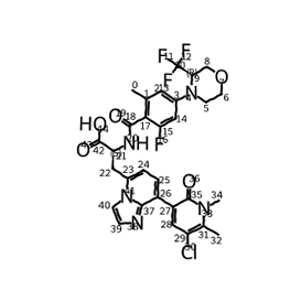 Cc1cc(N2CCOC[C@@H]2C(F)(F)F)cc(F)c1C(=O)N[C@@H](Cc1ccc(-c2cc(Cl)c(C)n(C)c2=O)c2nccn12)C(=O)O